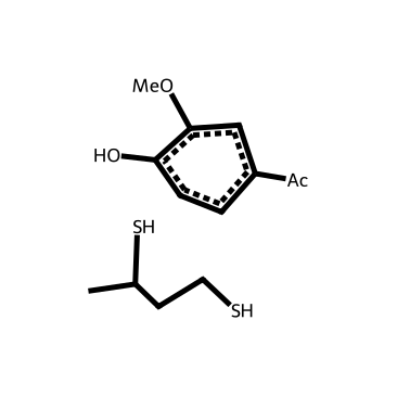 CC(S)CCS.COc1cc(C(C)=O)ccc1O